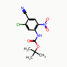 CC(C)(C)OC(=O)Nc1cc(Cl)c(C#N)cc1[N+](=O)[O-]